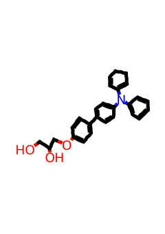 OCC(O)COc1ccc(-c2ccc(N(C3=CCCC=C3)c3ccccc3)cc2)cc1